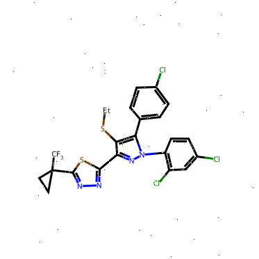 CCSc1c(-c2nnc(C3(C(F)(F)F)CC3)s2)nn(-c2ccc(Cl)cc2Cl)c1-c1ccc(Cl)cc1